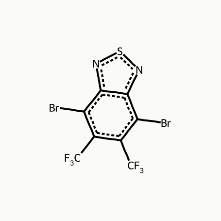 FC(F)(F)c1c(C(F)(F)F)c(Br)c2nsnc2c1Br